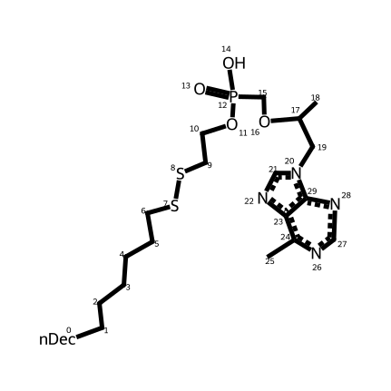 CCCCCCCCCCCCCCCCSSCCOP(=O)(O)COC(C)Cn1cnc2c(C)ncnc21